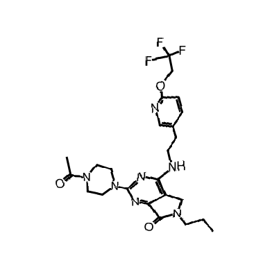 CCCN1Cc2c(NCCc3ccc(OCC(F)(F)F)nc3)nc(N3CCN(C(C)=O)CC3)nc2C1=O